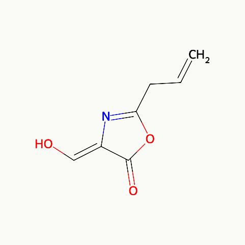 C=CCC1=NC(=CO)C(=O)O1